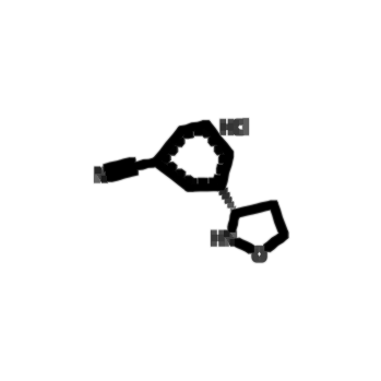 Cl.N#Cc1cccc([C@@H]2CCON2)c1